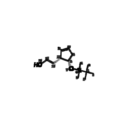 CC(C)(C)[Si](C)(C)O[C@H]1CC=C[C@H]1CCO